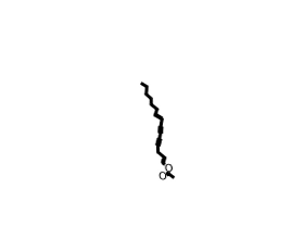 CCCCCCC=CC#CC#CCC=COC(C)=O